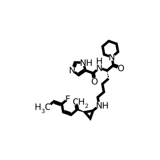 C=C(/C=C\C(F)=C/C)[C@@H]1CC1NCCCC[C@H](NC(=O)c1cnc[nH]1)C(=O)N1CCCCC1